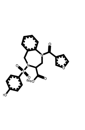 COC(=O)C1CN(C(=O)c2ccoc2)c2ccccc2CN1S(=O)(=O)c1ccc(OC)cc1